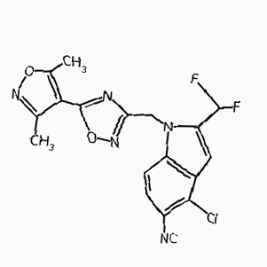 [C-]#[N+]c1ccc2c(cc(C(F)F)n2Cc2noc(-c3c(C)noc3C)n2)c1Cl